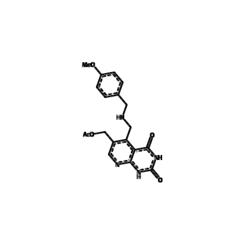 COc1ccc(CNCc2c(COC(C)=O)cnc3[nH]c(=O)[nH]c(=O)c23)cc1